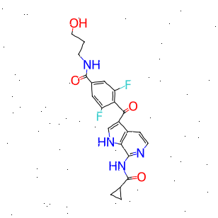 O=C(NCCCO)c1cc(F)c(C(=O)c2c[nH]c3c(NC(=O)C4CC4)nccc23)c(F)c1